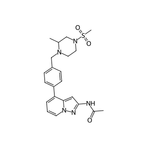 CC(=O)Nc1cc2c(-c3ccc(CN4CCN(S(C)(=O)=O)CC4C)cc3)cccn2n1